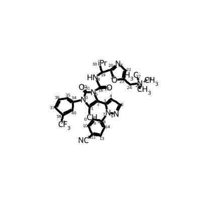 Cc1c(-c2ccnn2-c2ccc(C#N)cc2)n(C(=O)NC(c2ncc(C[N+](C)(C)C)o2)C(C)C)c(=O)n1-c1cccc(C(F)(F)F)c1